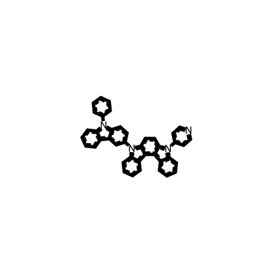 c1ccc(-n2c3ccccc3c3cc(-n4c5ccccc5c5c6c7ccccc7n(-c7ccncc7)c6ccc54)ccc32)cc1